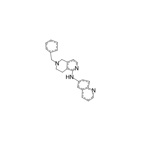 c1ccc(CN2CCc3c(ccnc3Nc3ccc4ncccc4c3)C2)cc1